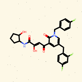 O=C(NC1CCCC1O)C(O)=CC(=O)c1cc(Cc2ccc(F)cc2F)cn(Cc2ccc(F)cc2)c1=O